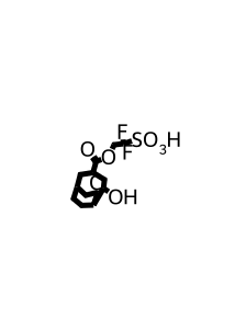 O=C(OCC(F)(F)S(=O)(=O)O)C12CC3CCC(C(O)C1)C(C3)C2